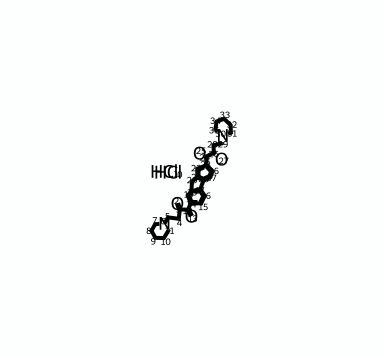 Cl.Cl.O=C(CCN1CCCCC1)C(=O)c1ccc2c(c1)Cc1cc(C(=O)C(=O)CCN3CCCCC3)ccc1-2